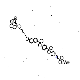 COC(=O)/C=C/c1ccc(OC(=O)c2ccc(OC(=O)c3ccc4cc(OCCCCCCOC(=O)CN5C(=O)C=CC5=O)ccc4c3)cc2)c(C)c1